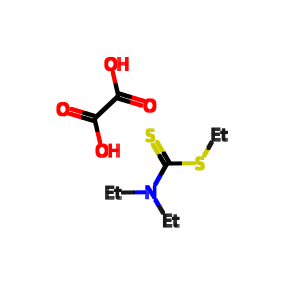 CCSC(=S)N(CC)CC.O=C(O)C(=O)O